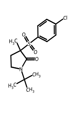 CC(C)(C)N1CCC(C)(S(=O)(=O)c2ccc(Cl)cc2)C1=O